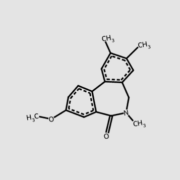 COc1ccc2c(c1)C(=O)N(C)Cc1cc(C)c(C)cc1-2